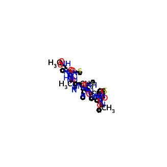 CC(Cc1cc(C#N)cc([C@@H]2OC(N3CCN(C(=O)[C@@H](CCCCNS(C)(=O)=O)NC4CCCCC4)[C@H](C(=O)NCc4cccs4)C3)=N[C@H]2C)c1)N[C@H](CCCCN1CCCCC1)C(=O)N1CCN(C2=N[C@@H](C)[C@H](c3cccc(C4CCCCC4N[C@H](CC4CCCCC4)C(=O)N4CCN(C5=N[C@H](C)[C@H](c6ccccc6)O5)C[C@H]4C(=O)NCc4cccs4)c3)O2)C[C@H]1C(=O)NCc1cccs1